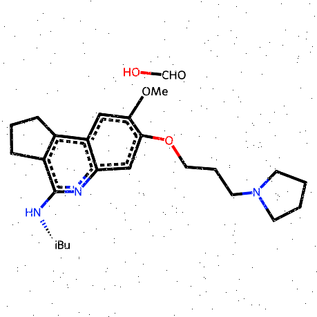 CC[C@@H](C)Nc1nc2cc(OCCCN3CCCC3)c(OC)cc2c2c1CCC2.O=CO